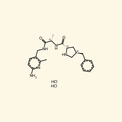 Cc1nc(N)ccc1CNC(=O)[C@H](C)NC(=O)[C@@H]1C[C@@H](Cc2ccccc2)CN1.Cl.Cl